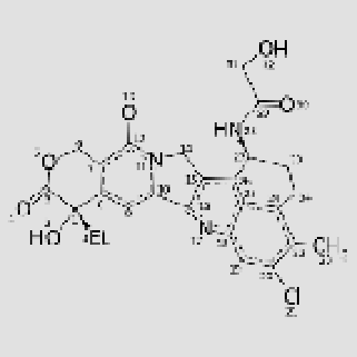 CC[C@@]1(O)C(=O)OCc2c1cc1n(c2=O)Cc2c-1nc1cc(Cl)c(C)c3c1c2[C@@H](NC(=O)CO)CC3